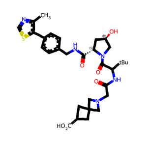 Cc1ncsc1-c1ccc(CNC(=O)[C@@H]2C[C@@H](O)CN2C(=O)C(NC(=O)CN2CC3(CC(C(=O)O)C3)C2)C(C)(C)C)cc1